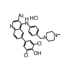 CC(=O)c1cnc2ccc(-c3cc(Cl)c(O)c(Cl)c3)cc2c1Nc1ccc(CN2CCN(C)CC2)cc1.Cl